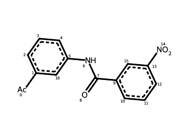 CC(=O)c1cccc(NC(=O)c2cccc([N+](=O)[O-])c2)c1